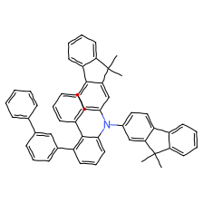 CC1(C)c2ccccc2-c2ccc(N(c3ccc4c(c3)C(C)(C)c3ccccc3-4)c3cccc(-c4cccc(-c5ccccc5)c4)c3-c3ccccc3)cc21